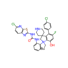 CC(C)(C)C[N+]1(c2ccccc2NC(=O)Nc2nc3ccc(Cl)nc3s2)CC2(CCNCC2)c2c(-c3ccc(Cl)cc3)c(F)cc(O)c21